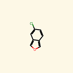 Clc1ccc2cocc2c1